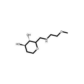 COCCNCC1OCC[C@@H](O)[C@@H]1O